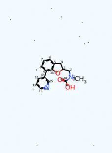 CN(CC1Cc2cccc(-c3cccnc3)c2O1)C(=O)O